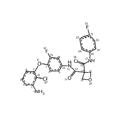 Nc1nccc(Oc2ccc(NC(=O)C3(C(=O)Nc4ccc(F)cc4)COC3)cc2F)c1Cl